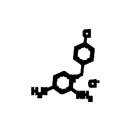 Nc1cc[n+](Cc2ccc(Cl)cc2)c(N)c1.[Cl-]